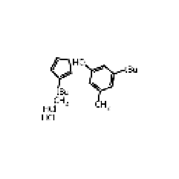 C.CC(C)(C)C1=CCC=C1.Cc1cc(O)cc(C(C)(C)C)c1.Cl.Cl